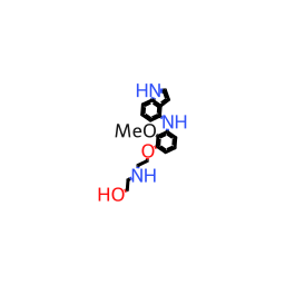 COc1c(Nc2cccc3[nH]ccc23)cccc1OCCNCCO